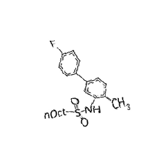 CCCCCCCCS(=O)(=O)Nc1cc(-c2ccc(F)cc2)ccc1C